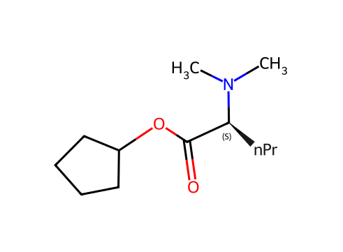 CCC[C@@H](C(=O)OC1CCCC1)N(C)C